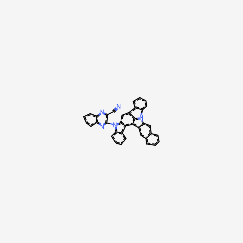 N#Cc1nc2ccccc2nc1-n1c2ccccc2c2c3c4cc5ccccc5cc4n4c5ccccc5c(cc21)c34